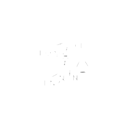 Cc1[nH]cnc1C(C)C(=O)c1c2n(c3ccccc13)CCC2.O=C(O)/C=C\C(=O)O